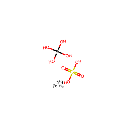 O=S(=O)(O)O.O[Si](O)(O)O.[Fe].[MgH2]